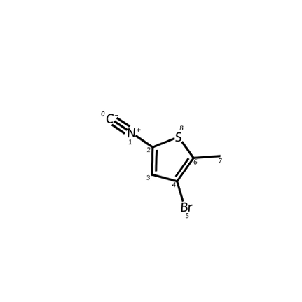 [C-]#[N+]c1cc(Br)c(C)s1